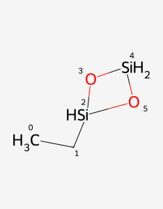 CC[SiH]1O[SiH2]O1